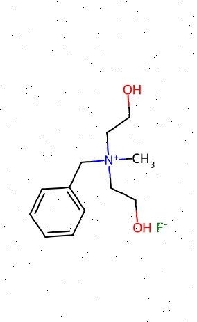 C[N+](CCO)(CCO)Cc1ccccc1.[F-]